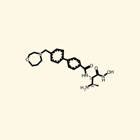 C[C@@H](N)[C@H](NC(=O)c1ccc(-c2ccc(CN3CCCOCC3)cc2)cc1)C(=O)NO